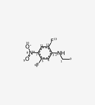 CCNc1cc(F)c([N+](=O)[O-])cc1F